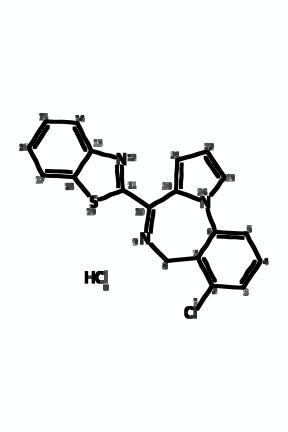 Cl.Clc1cccc2c1CN=C(c1nc3ccccc3s1)c1cccn1-2